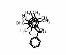 C[C]12[C]3(C)[C]4(C)[C]5(C=O)[C]1(C)[Fe]23451678[C]2(C)[C]1(C)[C]6(C)[C]7(C(=O)c1ccccc1)[C]28C